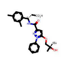 Cc1ccc([C@H](CC(=O)O)NC(=O)c2cc(OC[C@@](C)(O)C(C)(C)C)n(-c3ccccc3)n2)c(C)c1